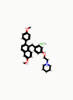 COc1ccc(-c2ccc3cc(OC)ccc3c2Cc2ccc(OCCN3CCCCC3)cc2)cc1.Cl